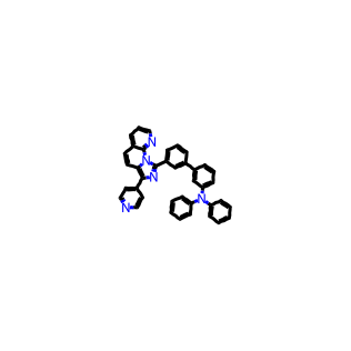 c1ccc(N(c2ccccc2)c2cccc(-c3cccc(-c4nc(-c5ccncc5)c5ccc6cccnc6n45)c3)c2)cc1